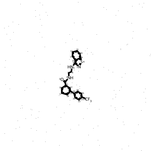 O=C(NCCNc1nsc2ccccc12)c1cccc(-c2ccc(C(F)(F)F)cc2)c1